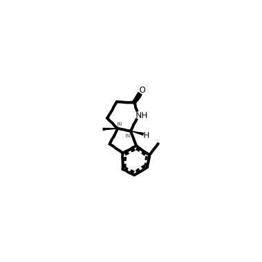 Cc1cccc2c1[C@H]1NC(=O)CC[C@@]1(C)C2